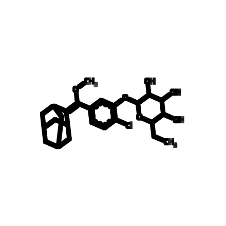 CCC1OC(Oc2cc(C(OC)=C3C4CC5CC(C4)CC3C5)ccc2Cl)C(O)C(O)C1O